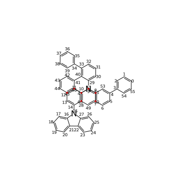 c1ccc(-c2cccc(N(c3cccc(-n4c5ccccc5c5ccccc54)c3)c3cccc(-c4ccccc4)c3-c3ccccc3-c3ccccc3)c2)cc1